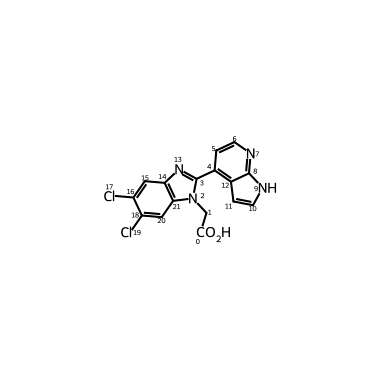 O=C(O)Cn1c(-c2ccnc3[nH]ccc23)nc2cc(Cl)c(Cl)cc21